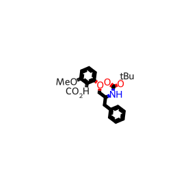 COc1cccc(OCC(Cc2ccccc2)NC(=O)OC(C)(C)C)c1C(=O)O